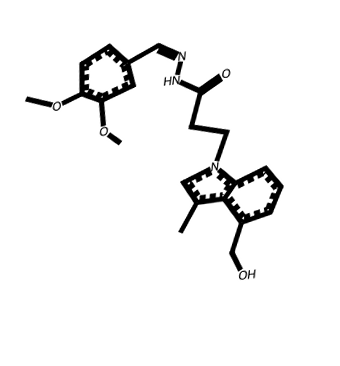 COc1ccc(/C=N\NC(=O)CCn2cc(C)c3c(CO)cccc32)cc1OC